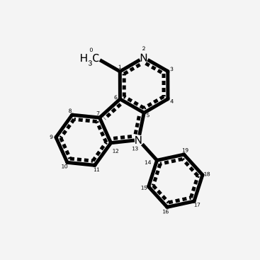 Cc1nccc2c1c1ccccc1n2-c1ccccc1